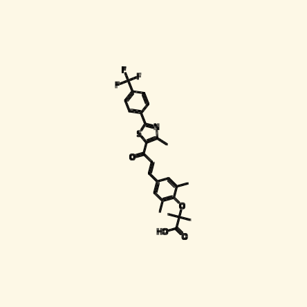 Cc1cc(/C=C/C(=O)c2sc(-c3ccc(C(F)(F)F)cc3)nc2C)cc(C)c1OC(C)(C)C(=O)O